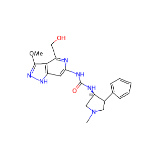 COc1n[nH]c2cc(NC(=O)N[C@@H]3CN(C)CC3c3ccccc3)nc(CO)c12